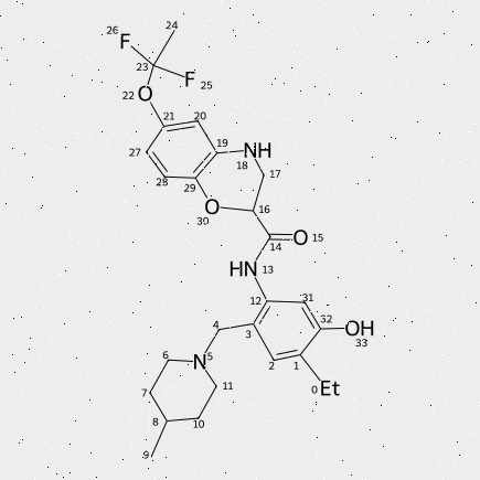 CCc1cc(CN2CCC(C)CC2)c(NC(=O)C2CNc3cc(OC(C)(F)F)ccc3O2)cc1O